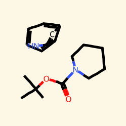 CC(C)(C)OC(=O)N1CCCCC1.c1cc2ccc1CCN2